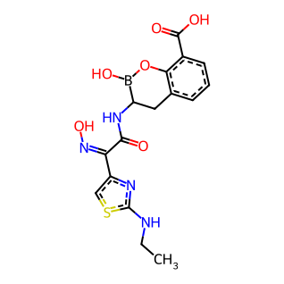 CCNc1nc(C(=NO)C(=O)NC2Cc3cccc(C(=O)O)c3OB2O)cs1